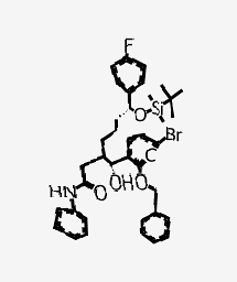 CC(C)(C)[Si](C)(C)O[C@H](CCCC(CC(=O)Nc1ccccc1)[C@@H](O)c1ccc(Br)cc1OCc1ccccc1)c1ccc(F)cc1